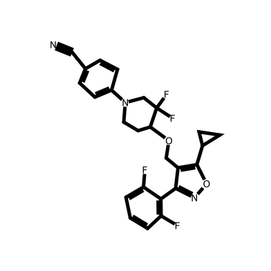 N#Cc1ccc(N2CCC(OCc3c(-c4c(F)cccc4F)noc3C3CC3)C(F)(F)C2)cc1